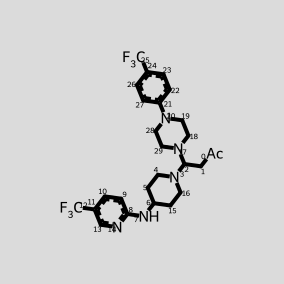 CC(=O)CC(N1CCC(Nc2ccc(C(F)(F)F)cn2)CC1)N1CCN(c2ccc(C(F)(F)F)cc2)CC1